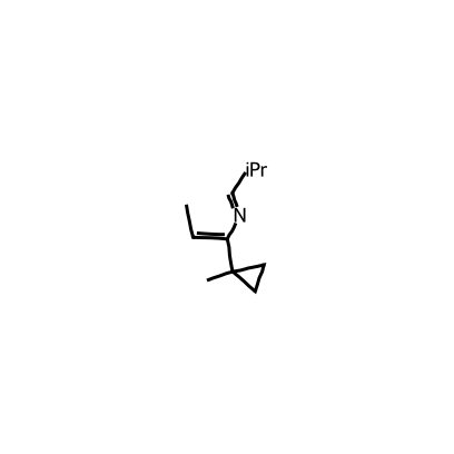 C/C=C(\N=C\C(C)C)C1(C)CC1